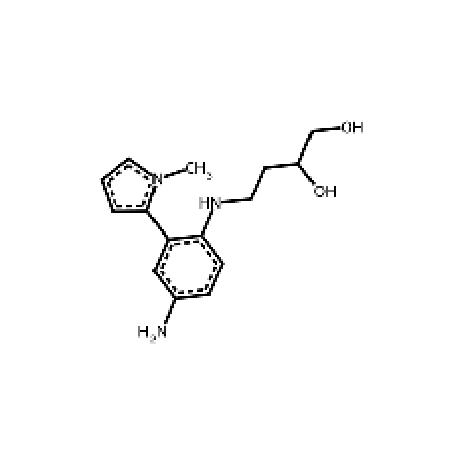 Cn1cccc1-c1cc(N)ccc1NCCC(O)CO